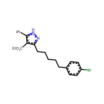 CCOC(=O)c1c(CCCCCc2ccc(Br)cc2)n[nH]c1C(C)C